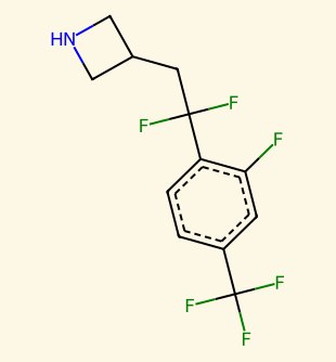 Fc1cc(C(F)(F)F)ccc1C(F)(F)CC1CNC1